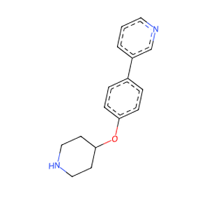 c1cncc(-c2ccc(OC3CCNCC3)cc2)c1